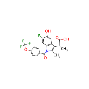 Cc1c([C@@H](C)C(=O)O)c2cc(O)c(F)cc2n1C(=O)c1ccc(OC(F)(F)F)cc1